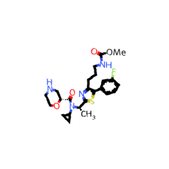 COC(=O)NCCCc1nc([C@@H](C)N(C(=O)[C@H]2CNCCO2)C2CC2)sc1-c1cccc(F)c1